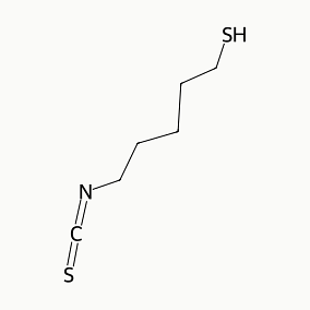 S=C=NCCCCCS